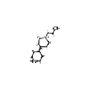 OCCN1CCC(C2CCNCC2)CC1